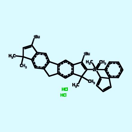 Cl.Cl.[CH2]=[Zr]([CH3])([C]1=CC=CC1)([C]1=C(C(C)(C)C)c2cc3c(cc2C1(C)C)Cc1cc2c(cc1-3)C(C(C)(C)C)=CC2(C)C)[c]1ccccc1